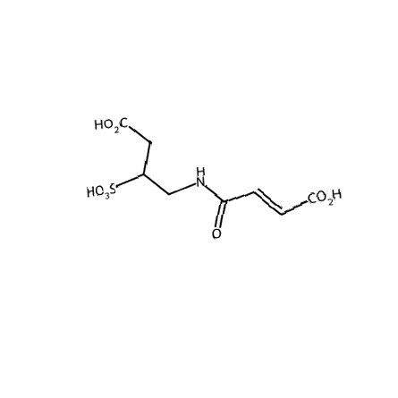 O=C(O)C=CC(=O)NCC(CC(=O)O)S(=O)(=O)O